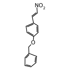 O=[N+]([O-])C=Cc1ccc(OCc2ccccc2)cc1